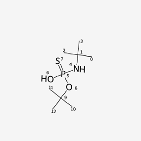 CC(C)(C)NP(O)(=S)OC(C)(C)C